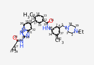 CCN1CCN(Cc2cc(NC(=O)c3ccc(C)c(-c4ccn5nc(NC(=O)C6CC6)nc5c4)c3)cc(C(F)(F)F)c2)CC1